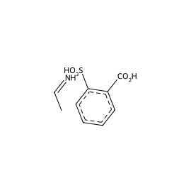 CC=N.O=C(O)c1ccccc1S(=O)(=O)O